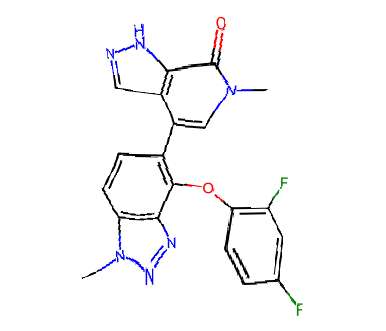 Cn1cc(-c2ccc3c(nnn3C)c2Oc2ccc(F)cc2F)c2cn[nH]c2c1=O